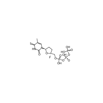 Cc1cn([C@H]2CC[C@@](F)(COP(=O)(O)OP(=O)(O)OP(=O)(O)O)O2)c(=O)[nH]c1=S